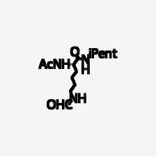 CCCC(C)NC(=O)[C@H](CCCCNC=O)NC(C)=O